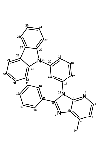 Cc1ccnc2c1nc(-c1ccccc1)n2-c1cccc(-n2c3ccccc3c3ccccc32)c1